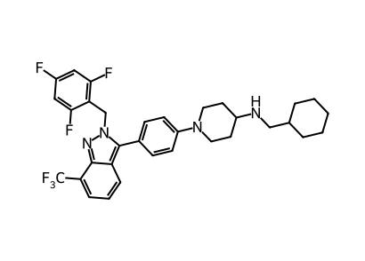 Fc1cc(F)c(Cn2nc3c(C(F)(F)F)cccc3c2-c2ccc(N3CCC(NCC4CCCCC4)CC3)cc2)c(F)c1